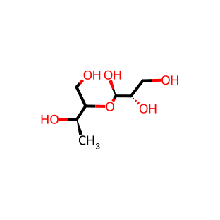 C[C@@H](O)C(CO)O[C@@H](O)[C@@H](O)CO